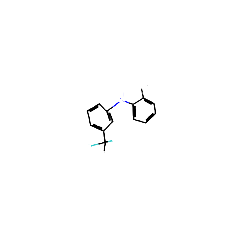 CC(F)(F)c1cccc(Nc2ccccc2C(=O)O)c1